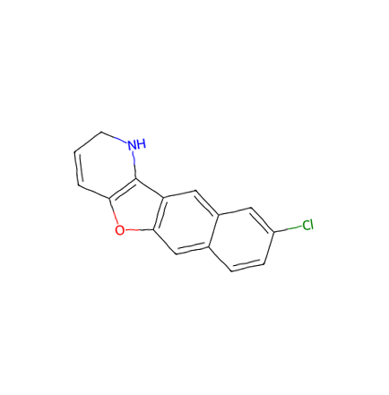 Clc1ccc2cc3oc4c(c3cc2c1)NCC=C4